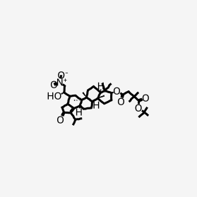 CC(C)C1=C2C(CC1=O)C([C@@H](O)C[N+](=O)[O-])C[C@]1(C)[C@@H]2CC[C@@H]2[C@@]3(C)CC[C@H](OC(=O)CC(C)(C)C(=O)OC(C)(C)C)C(C)(C)[C@@H]3CC[C@]21C